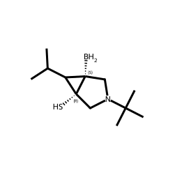 B[C@]12CN(C(C)(C)C)C[C@@]1(S)C2C(C)C